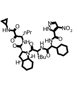 CCC[C@H](NC(=O)[C@@H]1C[C@@H]2CCCC[C@@H]2N1C(=O)[C@@H](NC(=O)[C@@H](NC(=O)c1[nH]ncc1[N+](=O)[O-])C1CCCCC1)C(C)(C)C)C(=O)C(=O)NC1CC1